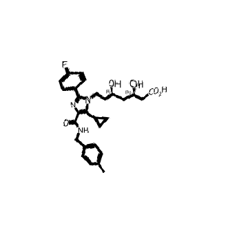 Cc1ccc(CNC(=O)c2nc(-c3ccc(F)cc3)n(CC[C@@H](O)C[C@@H](O)CC(=O)O)c2C2CC2)cc1